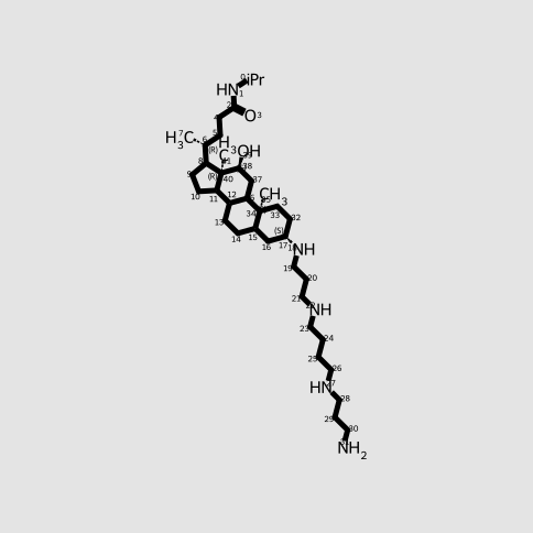 CC(C)NC(=O)CC[C@@H](C)C1CCC2C3CCC4C[C@@H](NCCCNCCCCNCCCN)CC[C@]4(C)C3C[C@H](O)[C@@]21C